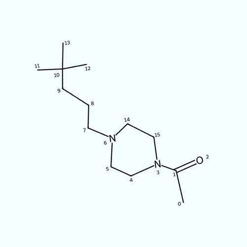 CC(=O)N1CCN(CCCC(C)(C)C)CC1